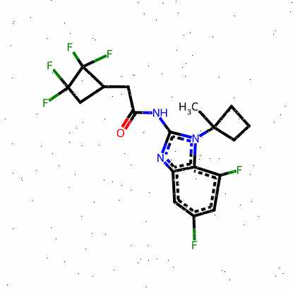 CC1(n2c(NC(=O)CC3CC(F)(F)C3(F)F)nc3cc(F)cc(F)c32)CCC1